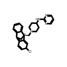 ClC1C=CC2=C3C[C@@](CN4CCC(Nc5ncccn5)CC4)(C2=C1)c1ccccc13